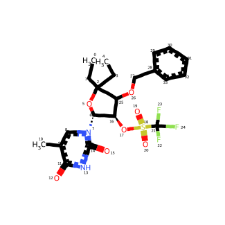 CCC1(CC)O[C@@H](n2cc(C)c(=O)[nH]c2=O)[C@H](OS(=O)(=O)C(F)(F)F)C1OCc1ccccc1